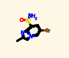 Cc1cn2cc(Br)cc([S+](N)[O-])c2n1